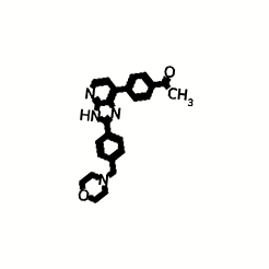 CC(=O)c1ccc(-c2ccnc3[nH]c(-c4ccc(CN5CCOCC5)cc4)nc23)cc1